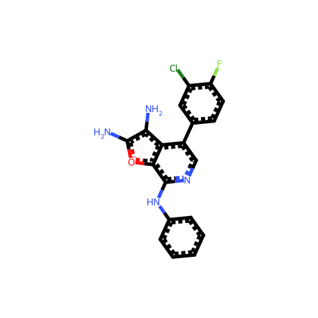 Nc1oc2c(Nc3ccccc3)ncc(-c3ccc(F)c(Cl)c3)c2c1N